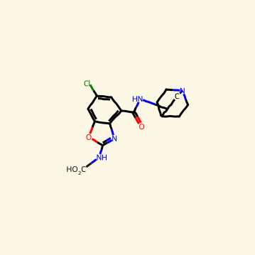 O=C(O)Nc1nc2c(C(=O)NC3CN4CCC3CC4)cc(Cl)cc2o1